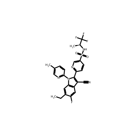 CCc1cc2c(cc1F)c(C#N)c(-c1ccc(S(=O)(=O)N[C@@H](C)C(F)(F)F)cn1)n2-c1ccc(C)cn1